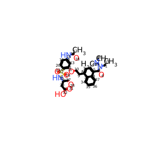 CCN(C(=O)c1ccc(CCOc2cc(NC(C)=O)ccc2S(=O)(=O)NC(C=O)CC(=O)O)c2ccccc12)N(C)C